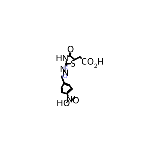 O=C(O)CC1S/C(=N\N=C\c2ccc([N+](=O)O)cc2)NC1=O